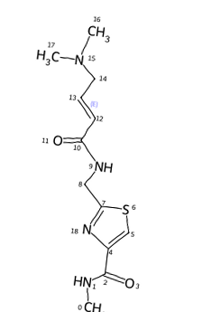 CNC(=O)c1csc(CNC(=O)/C=C/CN(C)C)n1